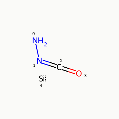 NN=C=O.[Si]